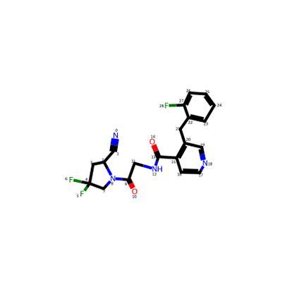 N#CC1CC(F)(F)CN1C(=O)CNC(=O)c1ccncc1Cc1ccccc1F